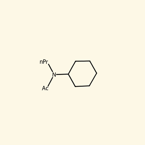 [CH2]CCN(C(C)=O)C1CCCCC1